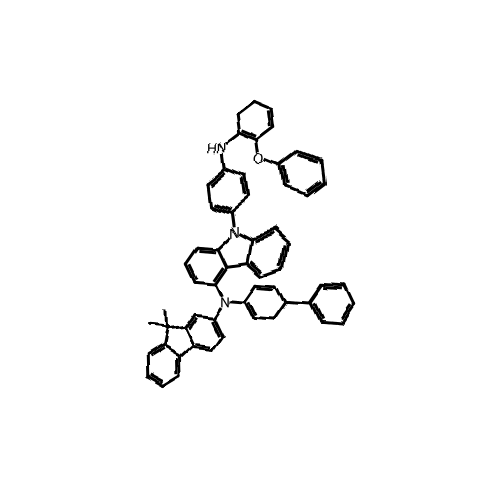 CC1(C)c2ccccc2-c2ccc(N(C3=CCC(c4ccccc4)C=C3)c3cccc4c3c3ccccc3n4-c3ccc(NC4=C(Oc5ccccc5)C=CCC4)cc3)cc21